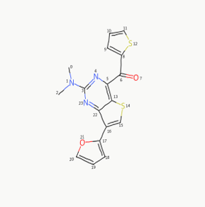 CN(C)c1nc(C(=O)c2cccs2)c2scc(-c3ccco3)c2n1